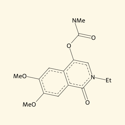 CCn1cc(OC(=O)NC)c2cc(OC)c(OC)cc2c1=O